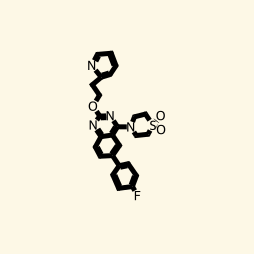 O=S1(=O)CCN(c2nc(OCCc3ccccn3)nc3ccc(-c4ccc(F)cc4)cc23)CC1